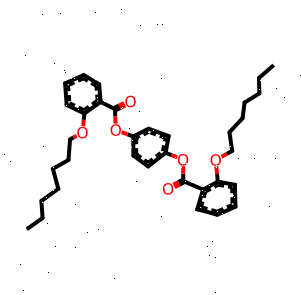 CCCCCCCOc1ccccc1C(=O)Oc1ccc(OC(=O)c2ccccc2OCCCCCCC)cc1